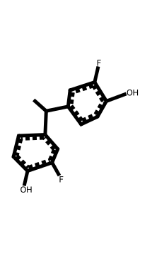 CC(c1ccc(O)c(F)c1)c1ccc(O)c(F)c1